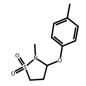 Cc1ccc(OC2CCS(=O)(=O)N2C)cc1